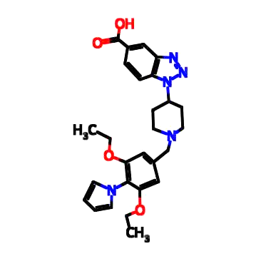 CCOc1cc(CN2CCC(n3nnc4cc(C(=O)O)ccc43)CC2)cc(OCC)c1-n1cccc1